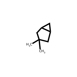 CC1(C)[CH]C2CC2C1